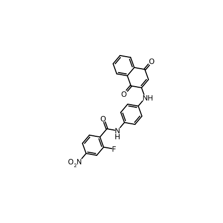 O=C(Nc1ccc(NC2=CC(=O)c3ccccc3C2=O)cc1)c1ccc([N+](=O)[O-])cc1F